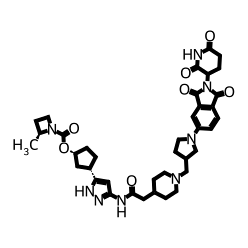 C[C@H]1CCN1C(=O)O[C@@H]1CC[C@H](c2cc(NC(=O)CC3CCN(CC4CCN(c5ccc6c(c5)C(=O)N(C5CCC(=O)NC5=O)C6=O)C4)CC3)n[nH]2)C1